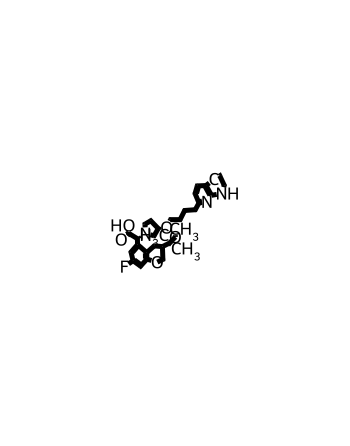 COC(C)(C)C1COc2cc(F)cc([C@@H](C(=O)O)N3CC[C@@H](OCCCCc4ccc5c(n4)NCCC5)C3)c2C1